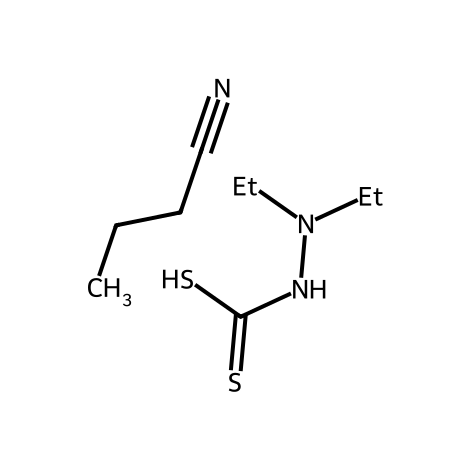 CCCC#N.CCN(CC)NC(=S)S